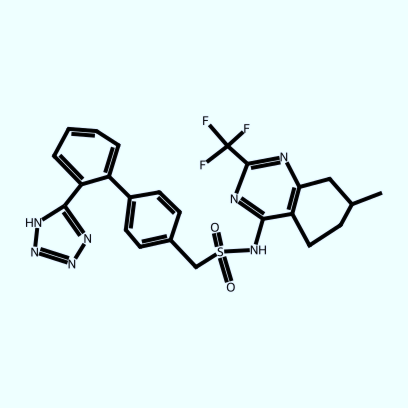 CC1CCc2c(nc(C(F)(F)F)nc2NS(=O)(=O)Cc2ccc(-c3ccccc3-c3nnn[nH]3)cc2)C1